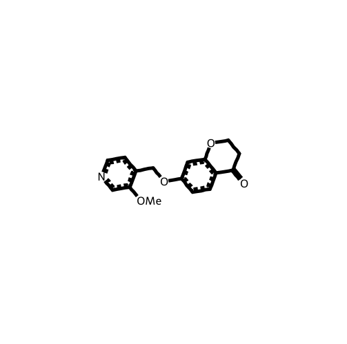 COc1cnccc1COc1ccc2c(c1)OCCC2=O